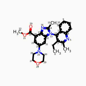 CCc1c(C)nc2ccccc2c1-n1c(C)nc2c(C(=O)OC)cc(N3CCOCC3)cc21